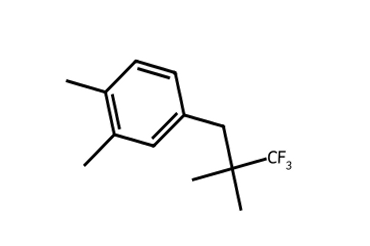 Cc1ccc(CC(C)(C)C(F)(F)F)cc1C